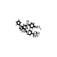 CCCC(OCC)C1CCN(Nc2nc(NC3CCC(N)CC3)nc3c2ncn3C2CCCC2)CC1